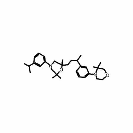 CC(C)c1cccc(N2CC(C)(C)OC(C)(CCC(C)c3cccc(N4CCOCC4(C)C)c3)C2)c1